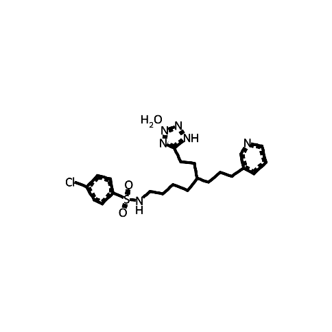 O.O=S(=O)(NCCCCC(CCCc1cccnc1)CCc1nnn[nH]1)c1ccc(Cl)cc1